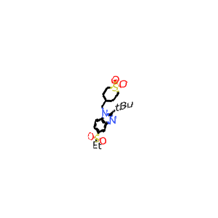 CCS(=O)(=O)c1ccc2c(c1)nc(C(C)(C)C)n2CC1CCS(=O)(=O)CC1